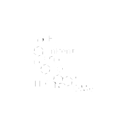 CCCCCC(=O)OCOc1c(-c2ccc(Oc3ccc(OC(F)(F)F)cc3)cc2)c(C)nc2cc(OC)c(Cl)cc12